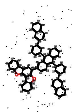 c1cc(-c2ccc3ccccc3c2)cc(-c2c3ccccc3c(-c3cccc(-c4ccc5ccccc5c4)c3)c3cc(-c4cc5c6ccccc6oc5c5c4oc4ccccc45)ccc23)c1